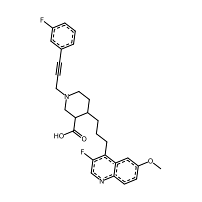 COc1ccc2ncc(F)c(CCCC3CCN(CC#Cc4cccc(F)c4)CC3C(=O)O)c2c1